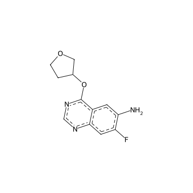 Nc1cc2c(OC3CCOC3)ncnc2cc1F